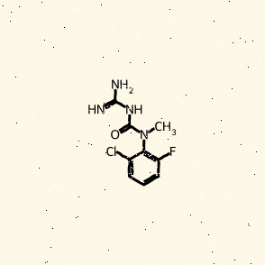 CN(C(=O)NC(=N)N)c1c(F)cccc1Cl